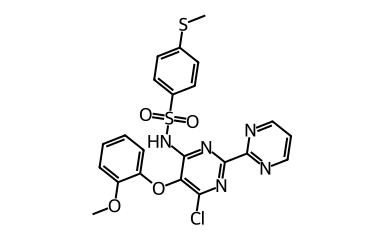 COc1ccccc1Oc1c(Cl)nc(-c2ncccn2)nc1NS(=O)(=O)c1ccc(SC)cc1